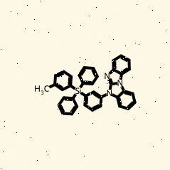 Cc1cccc([Si](c2ccccc2)(c2ccccc2)c2cccc(-n3c4ccccc4n4c5ccccc5nc34)c2)c1